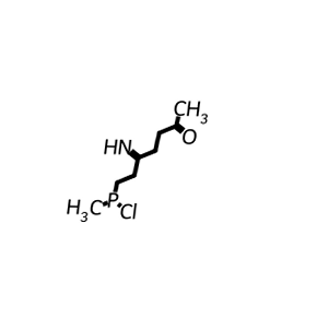 CC(=O)CCC(=N)CCP(C)Cl